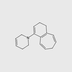 C1=CC2=C(C=CC1)C(N1CC=CCC1)=CCC2